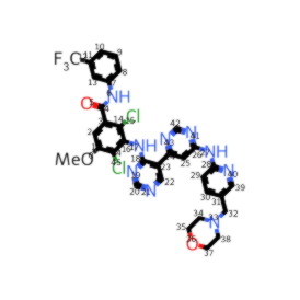 COc1cc(C(=O)Nc2cccc(C(F)(F)F)c2)c(Cl)c(Nc2ncncc2-c2cc(Nc3ccc(CN4CCOCC4)cn3)ncn2)c1Cl